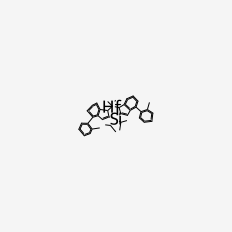 Cc1ccccc1-c1cccc2c1C=C1[CH]2[Hf]([CH3])([CH3])[CH]2C(=Cc3c(-c4ccccc4C)cccc32)[Si]1(C(C)C)C(C)C